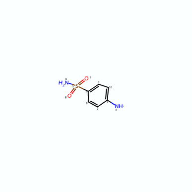 [NH]c1ccc(S(N)(=O)=O)cc1